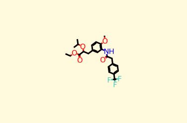 CCOC(=O)C(Cc1ccc(OC)c(NC(=O)Cc2ccc(C(F)(F)F)cc2)c1)OC(C)C